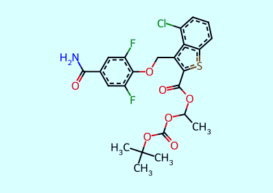 CC(OC(=O)OC(C)(C)C)OC(=O)c1sc2cccc(Cl)c2c1COc1c(F)cc(C(N)=O)cc1F